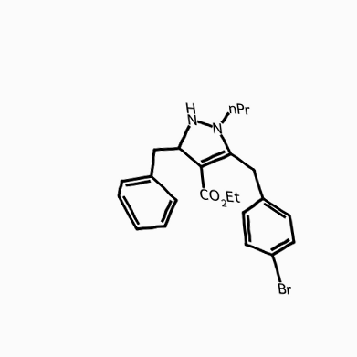 CCCN1NC(Cc2ccccc2)C(C(=O)OCC)=C1Cc1ccc(Br)cc1